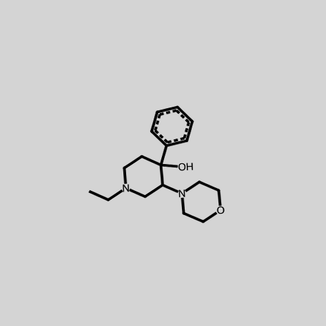 CCN1CCC(O)(c2ccccc2)C(N2CCOCC2)C1